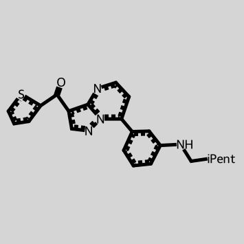 CCCC(C)CNc1cccc(-c2ccnc3c(C(=O)c4cccs4)cnn23)c1